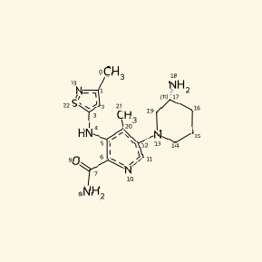 Cc1cc(Nc2c(C(N)=O)ncc(N3CCC[C@@H](N)C3)c2C)sn1